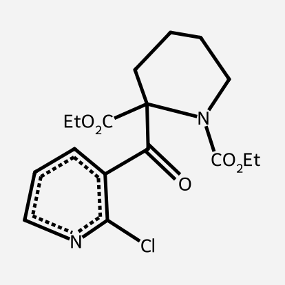 CCOC(=O)N1CCCCC1(C(=O)OCC)C(=O)c1cccnc1Cl